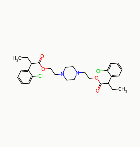 CCC(C(=O)OCCN1CCN(CCOC(=O)C(CC)c2ccccc2Cl)CC1)c1ccccc1Cl